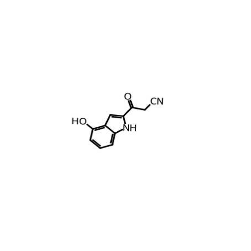 N#CCC(=O)c1cc2c(O)cccc2[nH]1